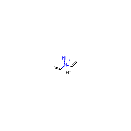 C=CN(N)C=C.[H+]